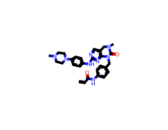 C=CC(=O)Nc1ccc(CN2C(=O)N(C)Cc3cnc(Nc4ccc(N5CCN(C)CC5)cc4)nc32)cc1